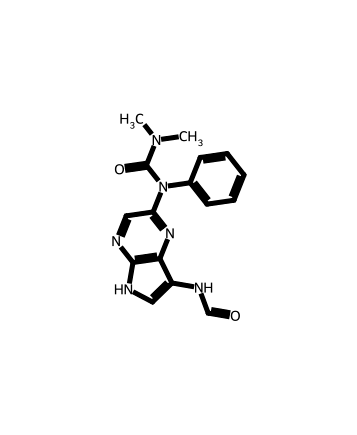 CN(C)C(=O)N(c1ccccc1)c1cnc2[nH]cc(NC=O)c2n1